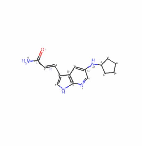 NC(=O)/C=C/c1c[nH]c2ncc(NC3CCCC3)cc12